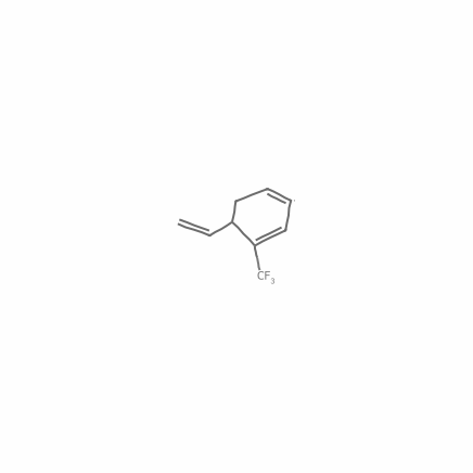 C=CC1CC=[C]C=C1C(F)(F)F